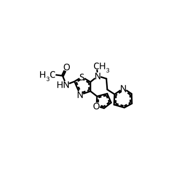 CC(=O)Nc1nc(-c2ccco2)c(N(C)CCc2ccccn2)s1